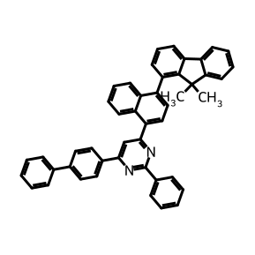 CC1(C)c2ccccc2-c2cccc(-c3ccc(-c4cc(-c5ccc(-c6ccccc6)cc5)nc(-c5ccccc5)n4)c4ccccc34)c21